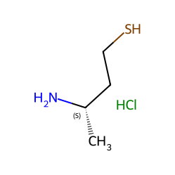 C[C@H](N)CCS.Cl